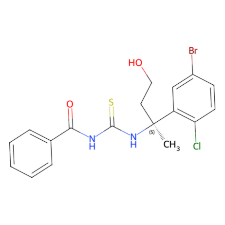 C[C@@](CCO)(NC(=S)NC(=O)c1ccccc1)c1cc(Br)ccc1Cl